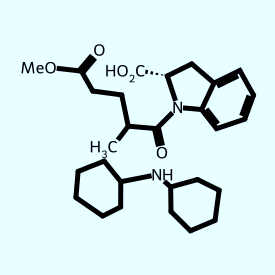 C1CCC(NC2CCCCC2)CC1.COC(=O)CCC(C)C(=O)N1c2ccccc2C[C@H]1C(=O)O